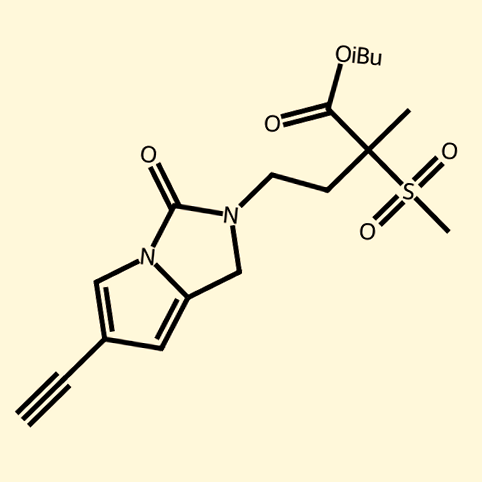 C#Cc1cc2n(c1)C(=O)N(CCC(C)(C(=O)OCC(C)C)S(C)(=O)=O)C2